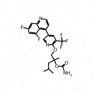 CC(C)CC(C)(COc1ncc(-c2ccnc3cc(F)cc(F)c23)cc1C(F)(F)F)OC(N)=O